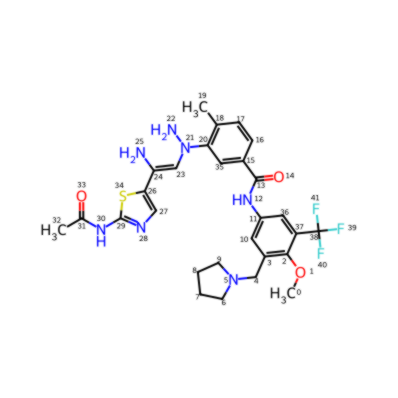 COc1c(CN2CCCC2)cc(NC(=O)c2ccc(C)c(N(N)/C=C(\N)c3cnc(NC(C)=O)s3)c2)cc1C(F)(F)F